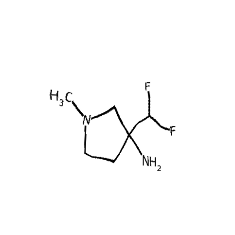 CN1CCC(N)(C(F)F)C1